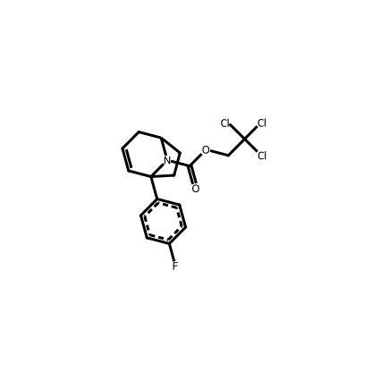 O=C(OCC(Cl)(Cl)Cl)N1C2CC=CC1(c1ccc(F)cc1)CC2